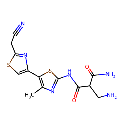 Cc1nc(NC(=O)C(CN)C(N)=O)sc1-c1csc(CC#N)n1